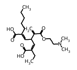 C=C(C(=O)OCCN(C)C)C(C=C(CC)C(=O)O)C=C(CCCCC)C(=O)O